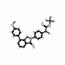 COc1ccc(-c2cccc3c2CN(c2ccc(C(C)C(=O)OC(C)(C)C)cc2)C3=O)cc1